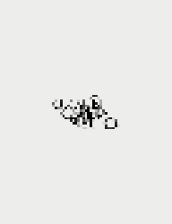 CCOC(OCC)[C@]12C(=O)CCC(=O)C1CCN2C(=O)[C@@H]1CCCN1OCc1ccccc1